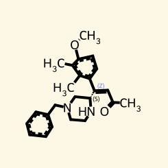 COc1ccc(/C(=C/C(C)=O)[C@H]2CN(Cc3ccccc3)CCN2)c(C)c1C